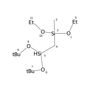 CCO[Si](C)(C[SiH](OC(C)(C)C)OC(C)(C)C)OCC